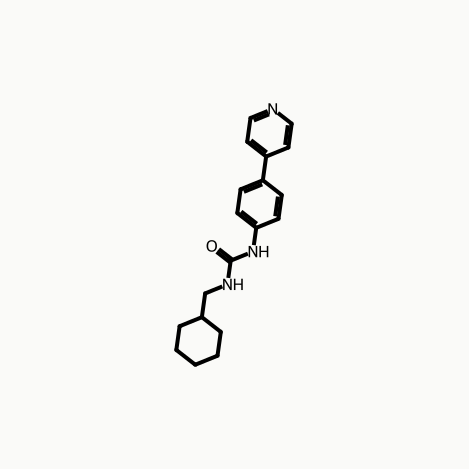 O=C(NCC1CCCCC1)Nc1ccc(-c2ccncc2)cc1